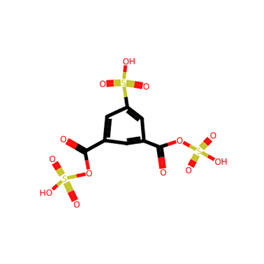 O=C(OS(=O)(=O)O)c1cc(C(=O)OS(=O)(=O)O)cc(S(=O)(=O)O)c1